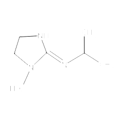 CC(C)/N=C1\NCCN1C